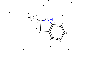 [CH2]C1Cc2ccccc2N1